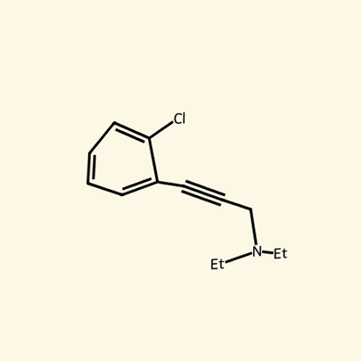 CCN(CC)CC#Cc1ccccc1Cl